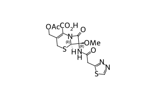 CO[C@]1(NC(=O)Cc2nncs2)C(=O)N2C(C(=O)O)=C(COC(C)=O)CS[C@@H]21